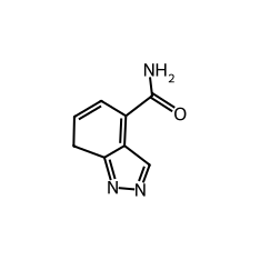 NC(=O)C1=C2C=NN=C2CC=C1